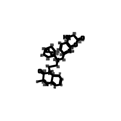 Cc1nc2ccccc2n(CCN(Cc2ccc3c(n2)OC(=O)CN3)C23CCC(CC2)OC3)c1=O